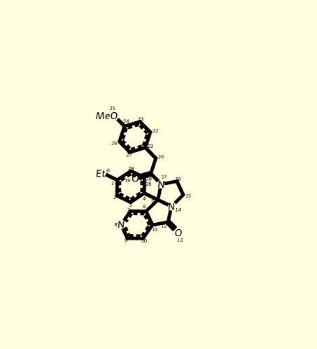 CCc1ccc(C23c4cnccc4C(=O)N2CCN3C(=O)Cc2ccc(OC)cc2)cc1